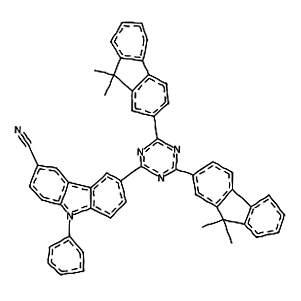 CC1(C)c2ccccc2-c2ccc(-c3nc(-c4ccc5c(c4)C(C)(C)c4ccccc4-5)nc(-c4ccc5c(c4)c4cc(C#N)ccc4n5-c4ccccc4)n3)cc21